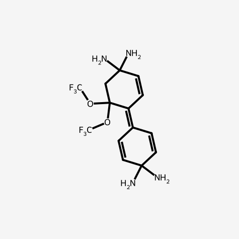 NC1(N)C=CC(=C2C=CC(N)(N)CC2(OC(F)(F)F)OC(F)(F)F)C=C1